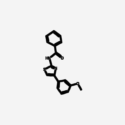 COc1cccc(-c2csc(NC(=O)c3ccccc3)n2)c1